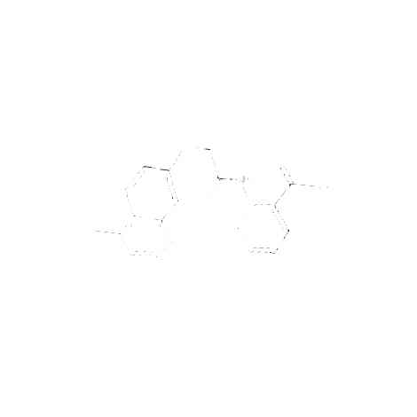 CC(Cc1ccc2c(Cl)c(O)ccc2c1)C(=O)Nc1ccccc1C(=O)O